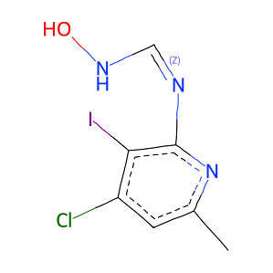 Cc1cc(Cl)c(I)c(/N=C\NO)n1